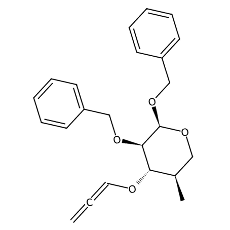 C=C=CO[C@@H]1[C@@H](OCc2ccccc2)[C@@H](OCc2ccccc2)OC[C@H]1C